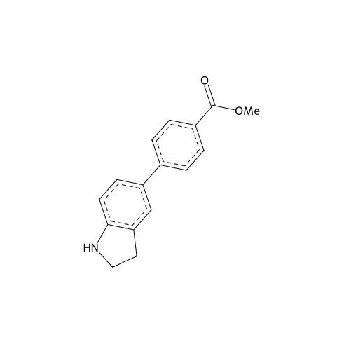 COC(=O)c1ccc(-c2ccc3c(c2)CCN3)cc1